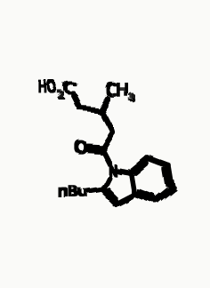 CCCCc1cc2ccccc2n1C(=O)CC(C)CC(=O)O